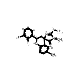 Bc1ccc2c(c1)C1(CC(c3cccc(F)c3F)O2)N=C(SC)N(C)C1=O